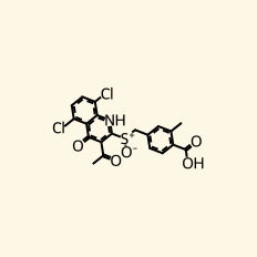 CC(=O)c1c([S+]([O-])Cc2ccc(C(=O)O)c(C)c2)[nH]c2c(Cl)ccc(Cl)c2c1=O